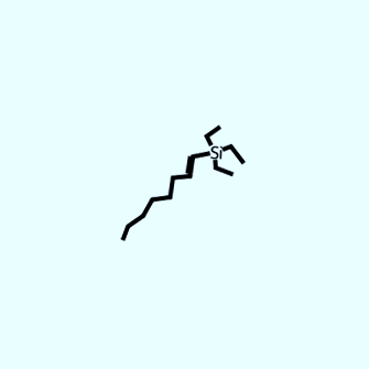 CCCCCCC=C[Si](CC)(CC)CC